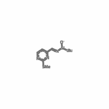 CSc1nccc(C=N[S+]([O-])C(C)(C)C)n1